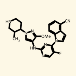 COc1nn(C2CCNCC2C)cc1Nc1ncc(F)c(-n2ccc3c(C#N)cccc32)n1